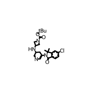 CC(C)(C)OC(=O)N1CC(NC2C=NC=C(N3C(=O)c4ccc(Cl)cc4C3(C)C)C2)C1